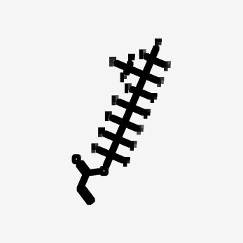 C=CC(=O)OC(F)(F)C(F)(F)C(F)(F)C(F)(F)C(F)(F)C(F)(C(F)(F)F)C(F)(F)F